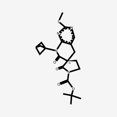 CSc1ncc2c(n1)N(C13CC(C1)C3)C(=O)[C@]1(CCN(C(=O)OC(C)(C)C)C1=O)C2